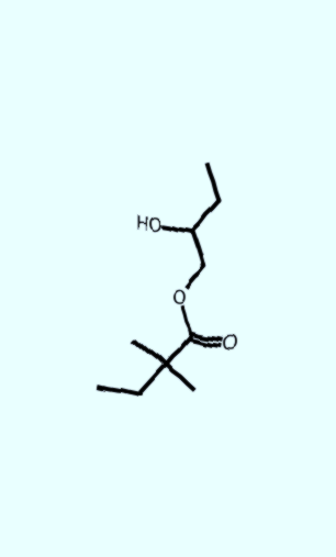 CCC(O)COC(=O)C(C)(C)CC